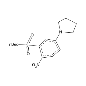 CCCCCCCCCCS(=O)(=O)c1cc(N2CCCC2)ccc1[N+](=O)[O-]